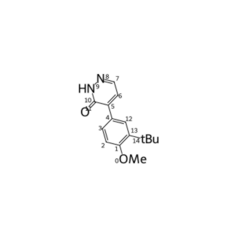 COc1ccc(-c2ccn[nH]c2=O)cc1C(C)(C)C